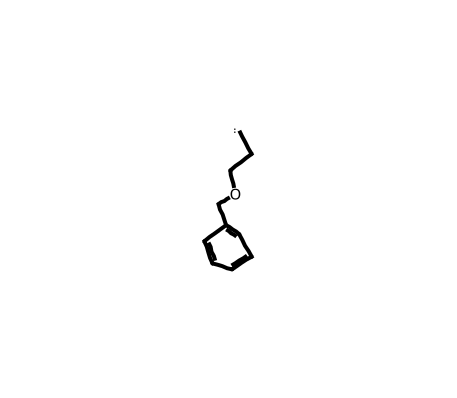 [CH]CCOCc1ccccc1